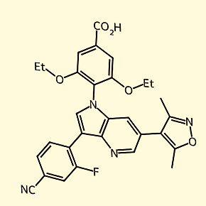 CCOc1cc(C(=O)O)cc(OCC)c1-n1cc(-c2ccc(C#N)cc2F)c2ncc(-c3c(C)noc3C)cc21